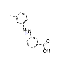 Cc1cccc(/N=N/c2cccc(C(=O)O)c2)c1